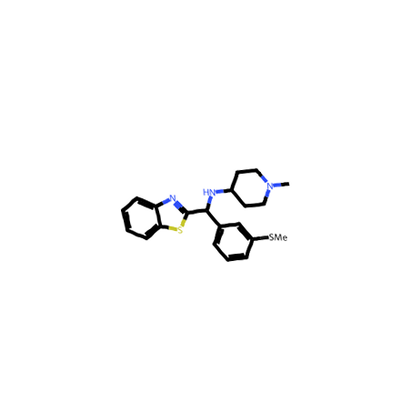 CSc1cccc(C(NC2CCN(C)CC2)c2nc3ccccc3s2)c1